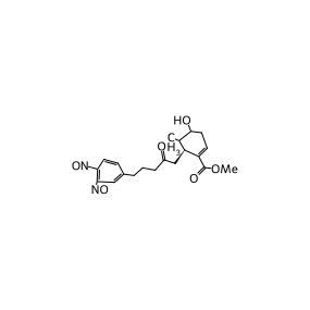 COC(=O)C1=CCC(O)C(C)[C@@H]1CC(=O)CCCc1ccc(N=O)c(N=O)c1